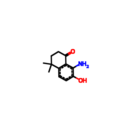 CC1(C)CCC(=O)c2c1ccc(O)c2N